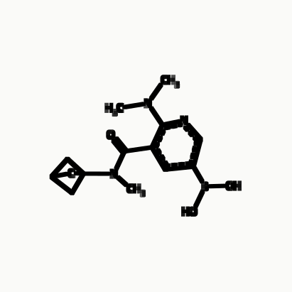 CN(C)c1ncc(B(O)O)cc1C(=O)N(C)C12CC(C1)C2